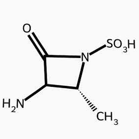 C[C@@H]1C(N)C(=O)N1S(=O)(=O)O